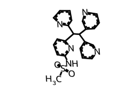 CS(=O)(=O)Nc1cccc(C(c2ccccn2)C(c2cccnc2)c2cccnc2)n1